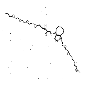 CCCOCCOCCOCCOCCNC(=O)COC1CCCCCc2c1nnn2CCOCCOCCOCCN